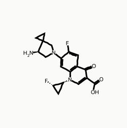 N[C@@H]1CN(c2cc3c(cc2F)c(=O)c(C(=O)O)cn3[C@@H]2C[C@@H]2F)CC12CC2